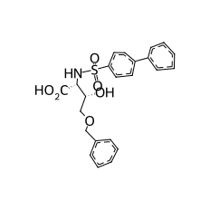 O=C(O)[C@H](NS(=O)(=O)c1ccc(-c2ccccc2)cc1)[C@H](O)COCc1ccccc1